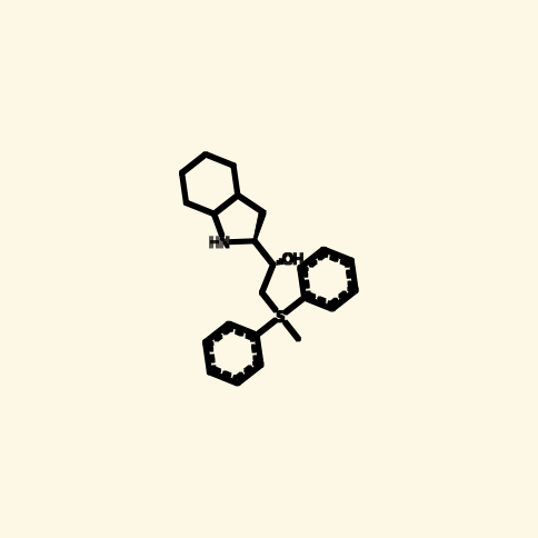 CS(C[C@@H](O)[C@@H]1CC2CCCCC2N1)(c1ccccc1)c1ccccc1